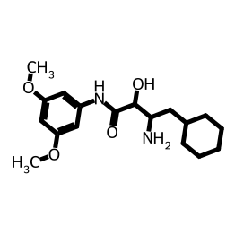 COc1cc(NC(=O)C(O)C(N)CC2CCCCC2)cc(OC)c1